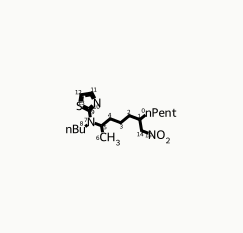 CCCCCC(CCCC(C)N(CCCC)c1nccs1)C[N+](=O)[O-]